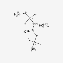 CC(C)(N)CC(=O)NC(C)(C)CN.Cl.Cl